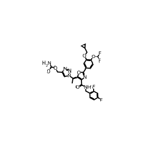 CC(c1oc(-c2ccc(OC(F)F)c(OCC3CC3)c2)nc1C(=O)NCc1ccc(F)cc1F)n1cc(COC(N)=O)nn1